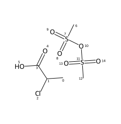 CC(Cl)C(=O)O.CS(=O)(=O)OS(C)(=O)=O